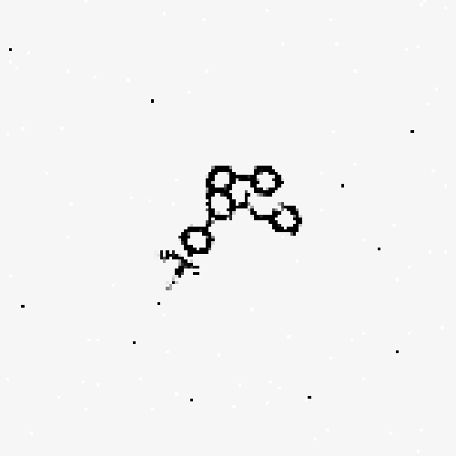 C=S(N)(=O)c1ccc(-c2nc(NCc3ccccn3)c3c(-c4ccccc4)cccc3n2)cc1